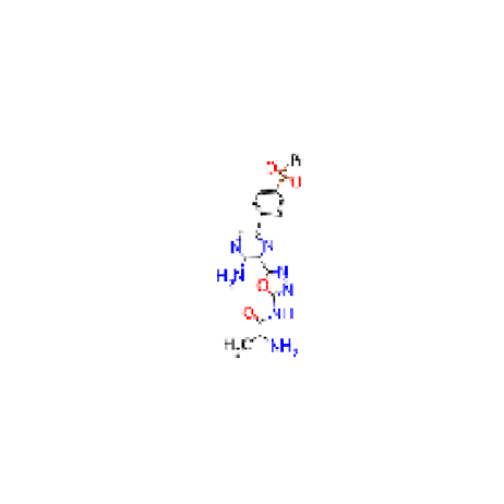 CC(N)C(=O)Nc1nnc(-c2nc(-c3ccc(S(=O)(=O)C(C)C)cc3)cnc2N)o1